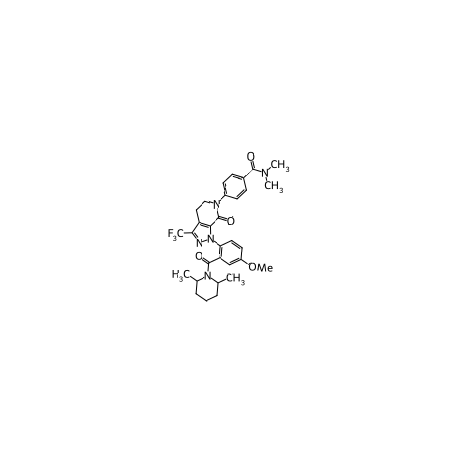 COc1ccc(-n2nc(C(F)(F)F)c3c2C(=O)N(c2ccc(C(=O)N(C)C)cc2)CC3)c(C(=O)N2C(C)CCCC2C)c1